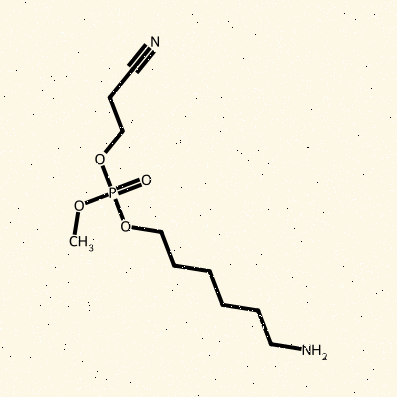 COP(=O)(OCCC#N)OCCCCCCN